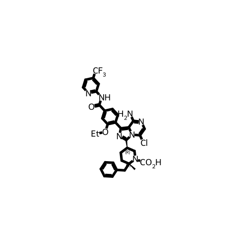 CCOc1cc(C(=O)Nc2cc(C(F)(F)F)ccn2)ccc1-c1nc([C@@H]2CC[C@@](C)(Cc3ccccc3)N(C(=O)O)C2)n2c(Cl)cnc(N)c12